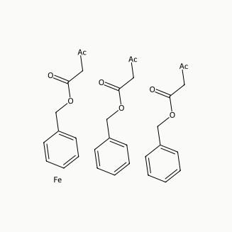 CC(=O)CC(=O)OCc1ccccc1.CC(=O)CC(=O)OCc1ccccc1.CC(=O)CC(=O)OCc1ccccc1.[Fe]